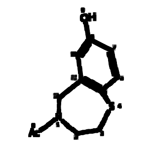 CC(=O)N1CCSc2ccc(O)cc2C1